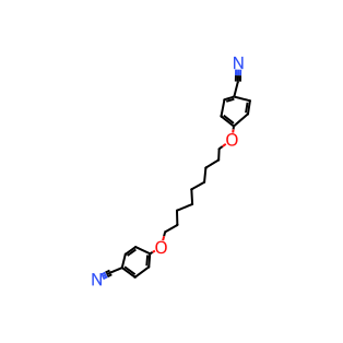 N#Cc1ccc(OCCCCCCCCCOc2ccc(C#N)cc2)cc1